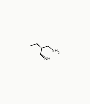 CC[C@H](C=N)CN